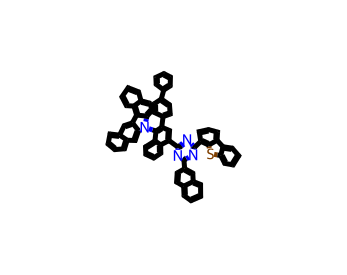 c1ccc(-c2ccc(-c3cc(-c4nc(-c5ccc6ccccc6c5)nc(-c5cccc6c5sc5ccccc56)n4)c4ccccc4c3-n3c4cc5ccccc5cc4c4c5ccccc5ccc43)cc2)cc1